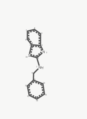 [CH](Nc1nc2ccccc2s1)c1ccccc1